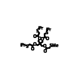 CSCC(=O)OCC(COC(=O)CSC(C)C)(COC(=O)CSC(C)C)COC(=O)CSC(C)C